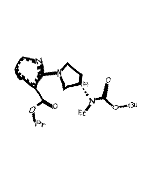 CCN(C(=O)OC(C)(C)C)[C@H]1CCN(c2ncccc2C(=O)OC(C)C)C1